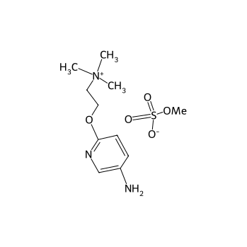 COS(=O)(=O)[O-].C[N+](C)(C)CCOc1ccc(N)cn1